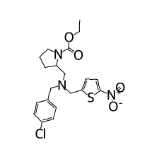 CCOC(=O)N1CCCC1CN(Cc1ccc(Cl)cc1)Cc1ccc([N+](=O)[O-])s1